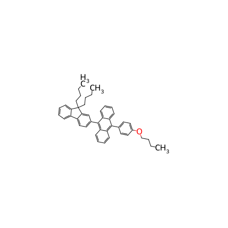 CCCCOc1ccc(-c2c3ccccc3c(-c3ccc4c(c3)C(CCCC)(CCCC)c3ccccc3-4)c3ccccc23)cc1